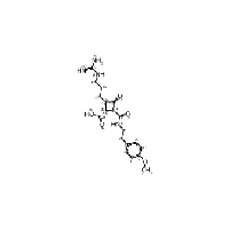 COc1ccc(CCNC(=O)N2C(=O)[C@H](CCCNC(=N)N)[C@H]2C(=O)O)cc1